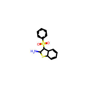 NC1SC2C=CC=CC2C1S(=O)(=O)c1ccccc1